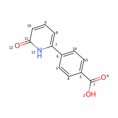 O=C(O)c1ccc(-c2cccc(=O)[nH]2)cc1